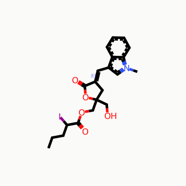 CCCC(I)C(=O)OCC1(CO)C/C(=C\c2cn(C)c3ccccc23)C(=O)O1